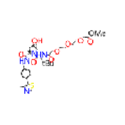 COC(=O)COCCOCCOCC(=O)NC(C(=O)N1C[C@H](O)C[C@H]1C(=O)NCc1ccc(-c2scnc2C)cc1)C(C)(C)C